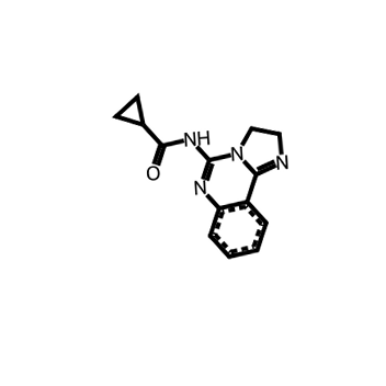 O=C(NC1=Nc2ccccc2C2=NCCN12)C1CC1